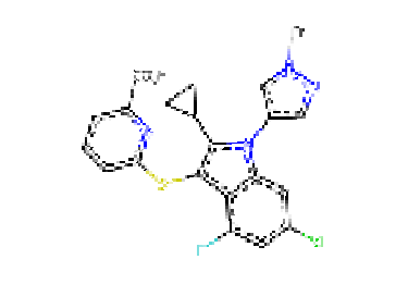 CC(C)n1cc(-n2c(C3CC3)c(Sc3cccc(C(=O)O)n3)c3c(F)cc(Cl)cc32)cn1